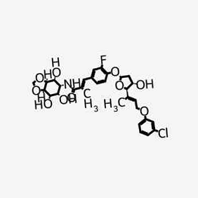 CC(=Cc1ccc(O[C@H]2C[C@H](O)[C@@H](C(C)=CCOc3cccc(Cl)c3)O2)c(F)c1)C(=O)N[C@@H]1[C@H](O)[C@@H](O)[C@H]2OCO[C@H]2[C@@H]1O